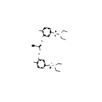 CCN(CC)S(=O)(=O)c1ccc(O)c(/N=N/C(C#N)=N/Nc2cc(S(=O)(=O)N(CC)CC)ccc2O)c1